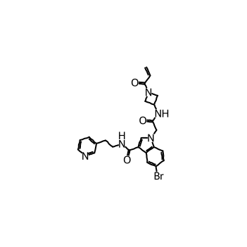 C=CC(=O)N1CC(NC(=O)Cn2cc(C(=O)NCCc3cccnc3)c3cc(Br)ccc32)C1